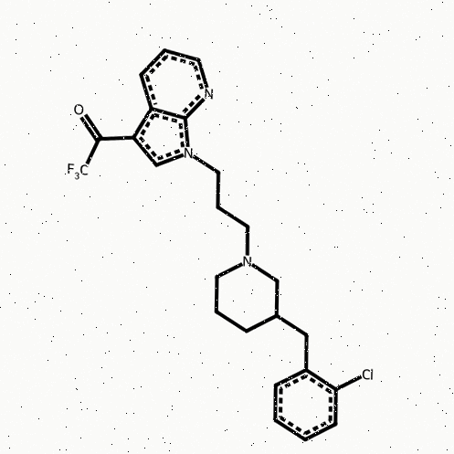 O=C(c1cn(CCCN2CCCC(Cc3ccccc3Cl)C2)c2ncccc12)C(F)(F)F